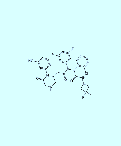 N#Cc1ccnc(N2C(=O)CNC[C@H]2CC(=O)N(c2cc(F)cc(F)c2)[C@H](C(=O)NC2CC(F)(F)C2)c2ccccc2Cl)n1